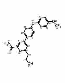 NC(=O)c1cc(-c2ccc(Oc3ccc(OC(F)(F)F)cc3)cc2)cc(CCO)n1